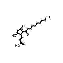 CCCCCCCCCC(=O)C1C(O)CC(O)C1CCC(=O)O